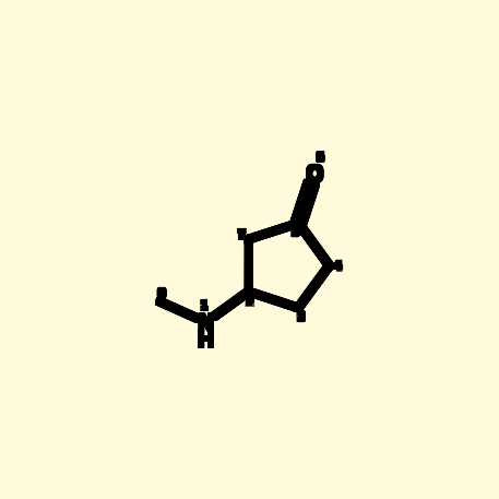 CNC1CCC(=O)C1